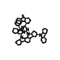 c1ccc(-c2ccc(-n3c4ccccc4c4ccc5c6cc(-n7c8ccccc8c8ccccc87)ccc6n(-c6nc(-c7ccccc7)nc(-c7cccc8sc9ccccc9c78)n6)c5c43)cc2)cc1